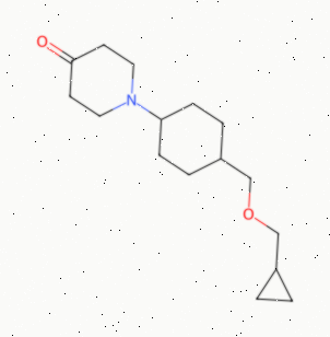 O=C1CCN(C2CCC(COCC3CC3)CC2)CC1